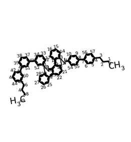 CCCCc1ccc(-c2ccc(-n3c4ccccc4c4c3ccc3c5ccccc5n(-c5cccc(-c6cccc(-c7cccc(CCCC)c7)c6)c5)c34)cc2)cc1